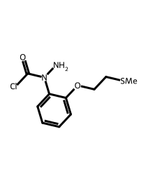 CSCCOc1ccccc1N(N)C(=O)Cl